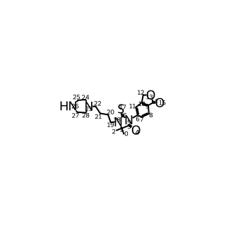 CC1(C)C(=O)N(c2ccc3c(c2)COC3=O)C(=S)N1CCCCN1CCNCC1